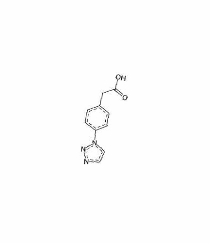 O=C(O)Cc1ccc(-n2ccnn2)cc1